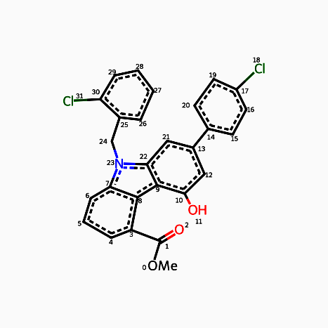 COC(=O)c1cccc2c1c1c(O)cc(-c3ccc(Cl)cc3)cc1n2Cc1ccccc1Cl